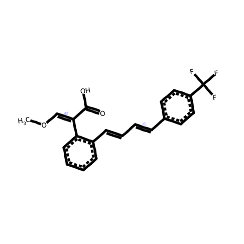 CO/C=C(/C(=O)O)c1ccccc1C=C/C=C/c1ccc(C(F)(F)F)cc1